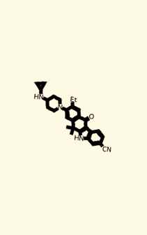 CCc1cc2c(cc1N1CCC(NC3CC3)CC1)C(C)(C)c1[nH]c3cc(C#N)ccc3c1C2=O